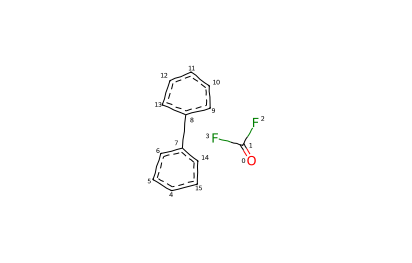 O=C(F)F.c1ccc(-c2ccccc2)cc1